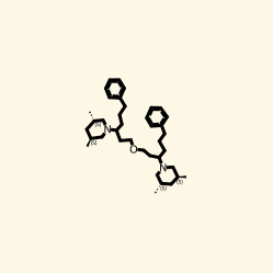 C[C@H]1C[C@H](C)CN(C(CCCc2ccccc2)CCOCCC(CCCc2ccccc2)N2C[C@@H](C)C[C@H](C)C2)C1